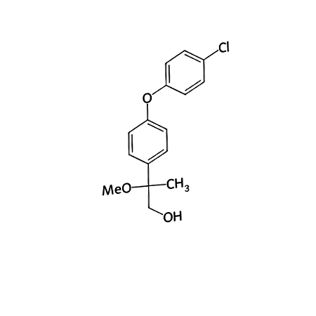 COC(C)(CO)c1ccc(Oc2ccc(Cl)cc2)cc1